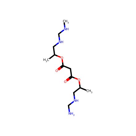 CNCNCC(C)OC(=O)CC(=O)OC(C)CNCN